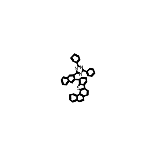 c1ccc(-c2nc(-c3ccccc3)nc(-c3cc4ccccc4cc3-c3cccc4c3sc3c4ccc4ccc5ccccc5c43)n2)cc1